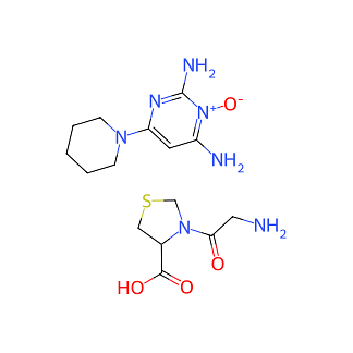 NCC(=O)N1CSCC1C(=O)O.Nc1cc(N2CCCCC2)nc(N)[n+]1[O-]